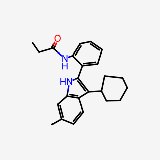 CCC(=O)Nc1ccccc1-c1[nH]c2cc(C)ccc2c1C1CCCCC1